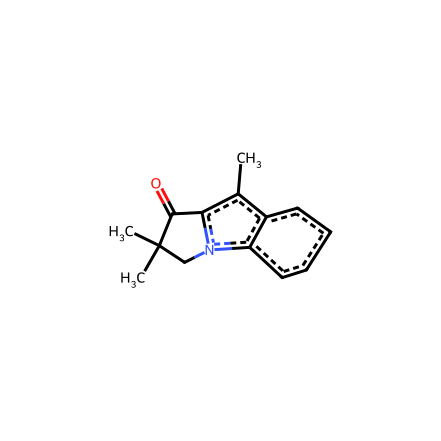 Cc1c2n(c3ccccc13)CC(C)(C)C2=O